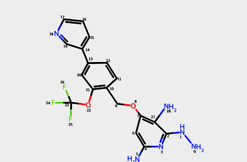 NNc1nc(N)cc(OCc2ccc(-c3cccnc3)cc2OC(F)(F)F)c1N